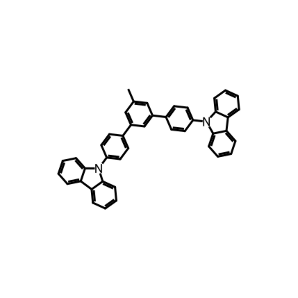 Cc1cc(-c2ccc(-n3c4ccccc4c4ccccc43)cc2)cc(-c2ccc(-n3c4ccccc4c4ccccc43)cc2)c1